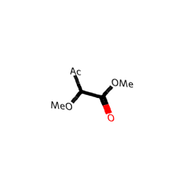 COC(=O)C(OC)C(C)=O